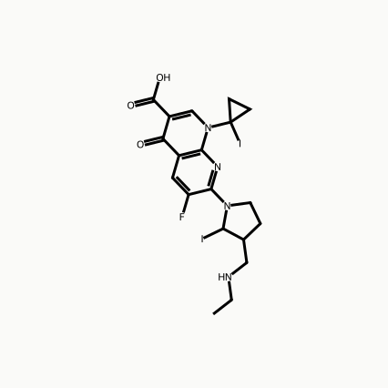 CCNCC1CCN(c2nc3c(cc2F)c(=O)c(C(=O)O)cn3C2(I)CC2)C1I